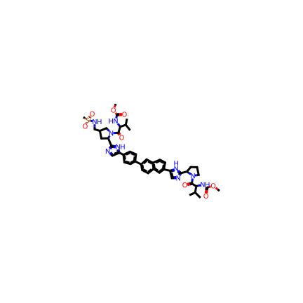 COC(=O)NC(C(=O)N1CCCC1c1ncc(-c2ccc3cc(-c4ccc(-c5cnc(C6CC(CNS(C)(=O)=O)CN6C(=O)C(NC(=O)OC)C(C)C)[nH]5)cc4)ccc3c2)[nH]1)C(C)C